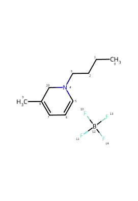 CCCCN1C=CC=C(C)C1.F[B-](F)(F)F